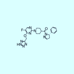 O=C(C1CCN(c2ncc(F)c(OCc3nn[nH]n3)n2)CC1)N1N=CC[C@H]1c1ccccc1